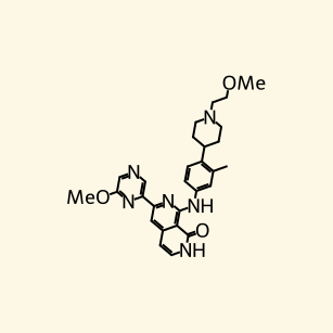 COCCN1CCC(c2ccc(Nc3nc(-c4cncc(OC)n4)cc4cc[nH]c(=O)c34)cc2C)CC1